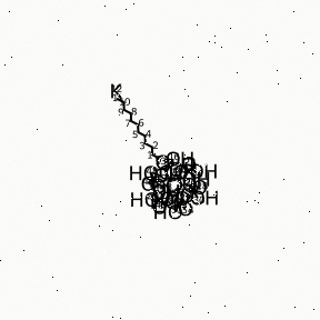 CCCCCCCCCCC[CH2][K].O=P(O)(O)O[C@H]1[C@H](OP(=O)(O)O)[C@@H](OP(=O)(O)O)[C@H](OP(=O)(O)O)[C@@H](OP(=O)(O)O)[C@H]1OP(=O)(O)O